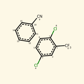 FC(F)(F)c1cc(Cl)ccc1Cl.N#Cc1ccccc1